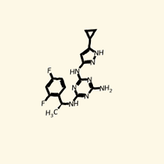 C[C@H](Nc1nc(N)nc(Nc2cc(C3CC3)[nH]n2)n1)c1ccc(F)cc1F